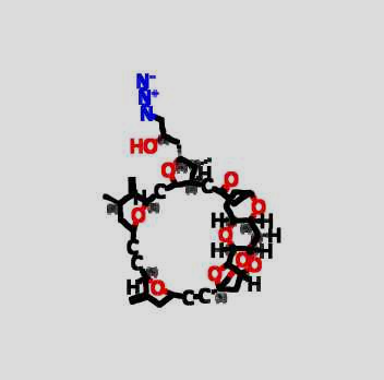 C=C1CC2CC[C@@]34C[C@H]5O[C@H]6[C@@H](O3)[C@H]3OC(CC[C@@H]3O[C@H]6C5O4)CC(=O)C[C@H]3C(C[C@H]4OC(CC[C@@H]1O2)C[C@@H](C)C4=C)O[C@H](C[C@H](O)CN=[N+]=[N-])[C@@H]3C